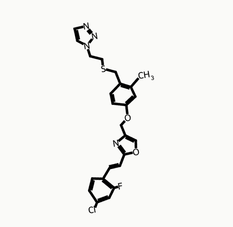 Cc1cc(OCc2coc(C=Cc3ccc(Cl)cc3F)n2)ccc1CSCCn1ccnn1